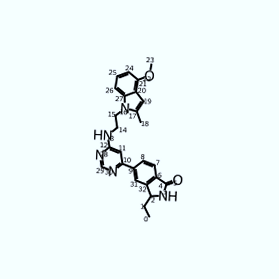 CCC1NC(=O)c2ccc(-c3cc(NCCn4c(C)cc5c(OC)cccc54)ncn3)cc21